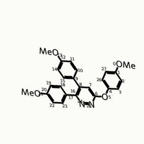 COc1ccc(Oc2cc(-c3ccc(OC)cc3)c(-c3ccc(OC)cc3)nn2)cc1